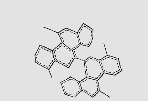 Cc1cccc2c1cc(-c1cc3c(C)cccc3c3c(C)cc4ccccc4c13)c1c3ccccc3cc(C)c21